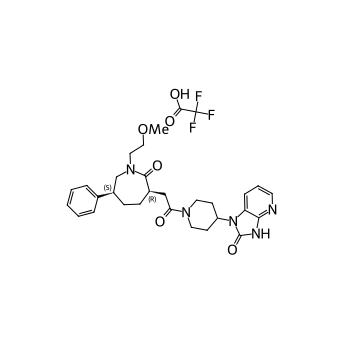 COCCN1C[C@H](c2ccccc2)CC[C@H](CC(=O)N2CCC(n3c(=O)[nH]c4ncccc43)CC2)C1=O.O=C(O)C(F)(F)F